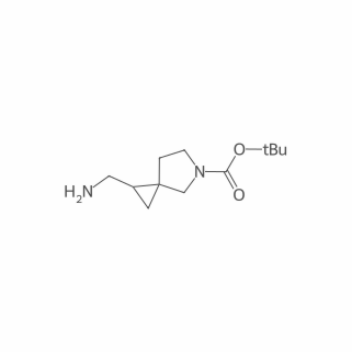 CC(C)(C)OC(=O)N1CCC2(CC2CN)C1